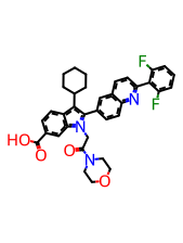 O=C(O)c1ccc2c(C3CCCCC3)c(-c3ccc4nc(-c5c(F)cccc5F)ccc4c3)n(CC(=O)N3CCOCC3)c2c1